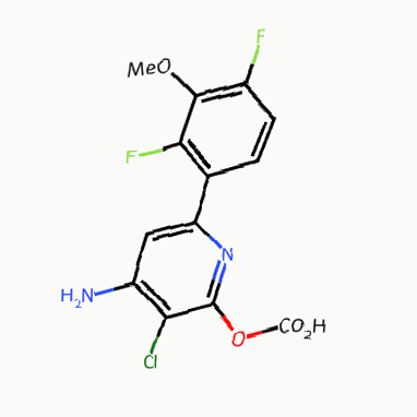 COc1c(F)ccc(-c2cc(N)c(Cl)c(OC(=O)O)n2)c1F